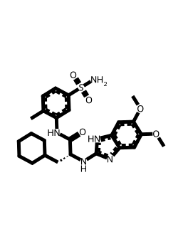 COc1cc2nc(N[C@H](CC3CCCCC3)C(=O)Nc3cc(S(N)(=O)=O)ccc3C)[nH]c2cc1OC